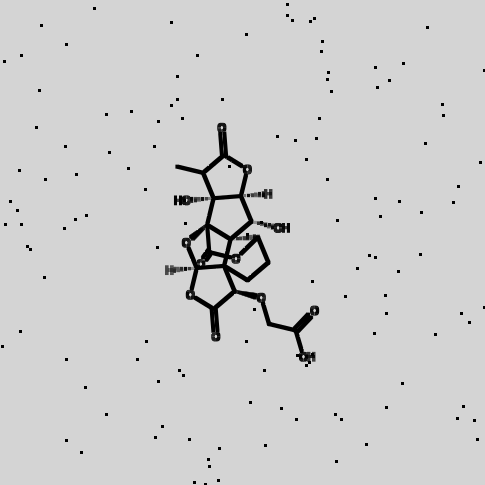 CC1C(=O)O[C@H]2[C@H](O)[C@@]34C5CCC36[C@@H](OC(=O)[C@@H]6OCC(=O)O)O[C@@]4(C(=O)O5)[C@@]12O